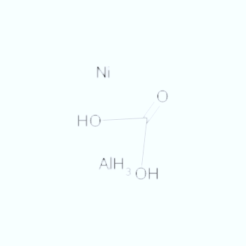 O=C(O)O.[AlH3].[Ni]